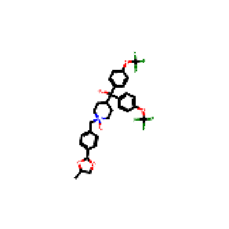 CC1COC(c2ccc(C[N+]3([O-])CCC(C(O)(c4ccc(OC(F)(F)F)cc4)c4ccc(OC(F)(F)F)cc4)CC3)cc2)O1